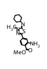 COC(=O)c1ccc(-c2nn(C)/c(=N\C3CCCCC3)s2)cc1N